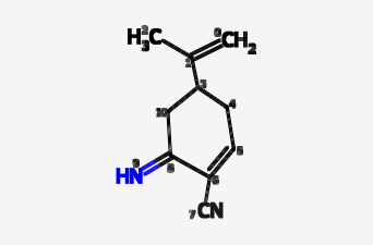 C=C(C)C1CC=C(C#N)C(=N)C1